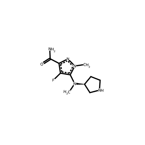 CN(c1c(F)c(C(N)=O)nn1C)[C@H]1CCNC1